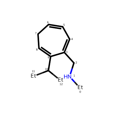 CCNCC1=CC=CCC=C1C(CC)CC